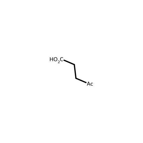 [CH2]C(=O)CCC(=O)O